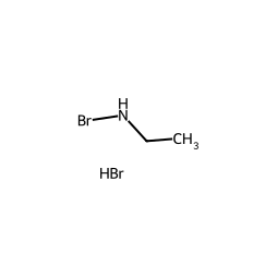 Br.CCNBr